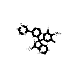 COc1c(C)cc(C2(c3cccc(-c4cnccn4)c3)N=C(N)c3ncccc32)cc1F